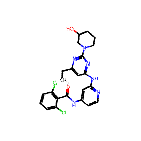 CCc1cc(Nc2cc(NC(=O)c3c(Cl)cccc3Cl)ccn2)nc(N2CCCC(O)C2)n1